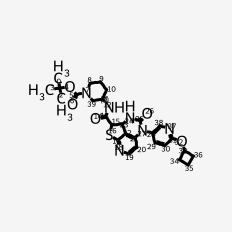 CC(C)(C)OC(=O)N1CCC[C@@H](NC(=O)C2Sc3nccc4c3C2NC(=O)N4c2ccc(OC3CCC3)nc2)C1